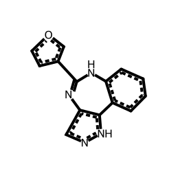 c1ccc2c(c1)NC(c1ccoc1)=Nc1cn[nH]c1-2